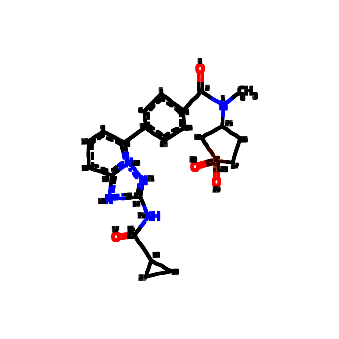 CN(C(=O)c1ccc(-c2cccc3nc(NC(=O)C4CC4)nn23)cc1)C1CCS(=O)(=O)C1